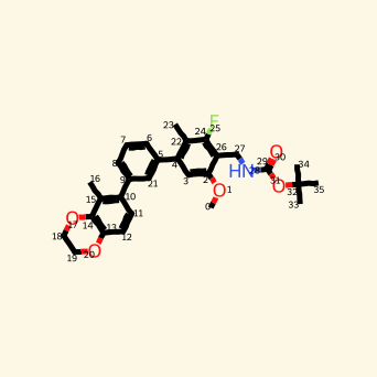 COc1cc(-c2cccc(-c3ccc4c(c3C)OCCO4)c2)c(C)c(F)c1CNC(=O)OC(C)(C)C